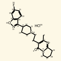 Cc1nc2n(c(=O)c1CCN1CCC(c3noc4cc(F)ccc34)CC1)CCCC2.Cl